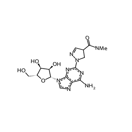 CNC(=O)C1C=NN(c2nc(N)c3ncn([C@@H]4O[C@H](CO)[C@@H](O)[C@H]4O)c3n2)C1